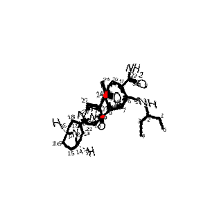 CCC(CC)Nc1cc(C(=O)N[C@H]2C[C@H]3CC[C@@H](C2)N3c2ccc(C(C)=O)cn2)ccc1C(N)=O